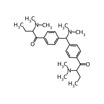 CCC(C(=O)c1ccc(C(c2ccc(C(=O)C(CC)N(C)C)cc2)N(C)C)cc1)N(C)C